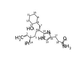 C=C[C@@H](C[C@H](O)[C@@H](CC1CCCCC1)c1nc(CCC(N)=O)c[nH]1)C(C)C